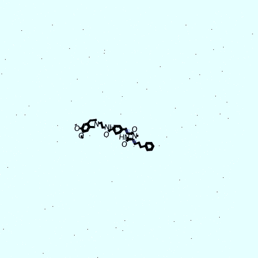 COc1cc2c(cc1OC)CN(CCNC(=O)c1ccc(/C=c3\[nH]c(=O)/c(=C/CCc4ccccc4)n(C)c3=O)cc1)CC2